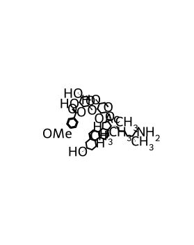 COc1ccc(C(=O)O[C@H]2[C@H](O[C@@H]3[C@@H](OC(C)=O)[C@H](O[C@H]4C[C@H]5[C@@H]6CC=C7C[C@@H](O)CC[C@]7(C)[C@H]6CC[C@]5(C)[C@H]4[C@H](C)CCC[C@@H](C)CN)OC[C@@H]3O)OC[C@@H](O)[C@@H]2O)cc1